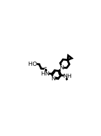 CNc1cnc(NSCCO)cc1N1CCC2(CC1)CC2